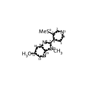 CSc1cnccc1-c1nc2cc(C)cnc2n1C